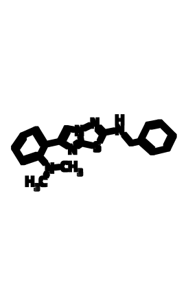 CN(C)c1ccccc1-c1cn2nc(NCc3ccccc3)sc2n1